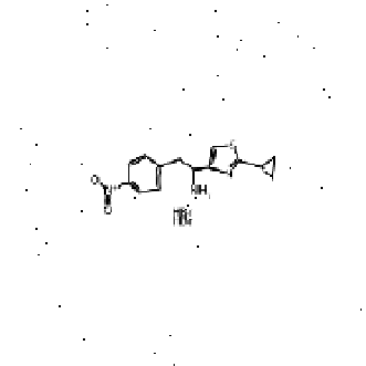 Br.Br.NC(Cc1ccc([N+](=O)[O-])cc1)c1csc(C2CC2)n1